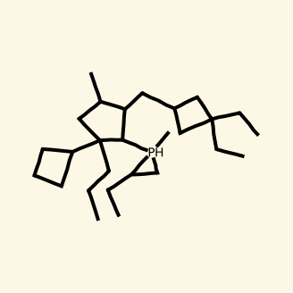 CCCC1(C2CCC2)CC(C)C(CC2CC(CC)(CC)C2)C1[PH]1(C)CC1CC